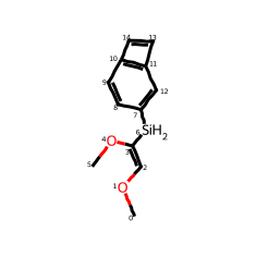 COC=C(OC)[SiH2]c1ccc2c(c1)C=C2